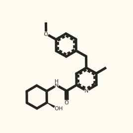 COc1ccc(Cc2cc(C(=O)NC3CCCC[C@@H]3O)ncc2C)cc1